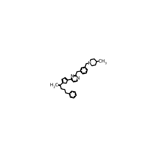 C=C(CCCc1ccccc1)C1=CC=C(c2ccnc(Cc3cccc(CN4CCC(C)CC4)c3)n2)C1